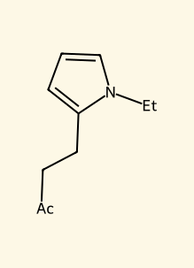 CCn1cccc1CCC(C)=O